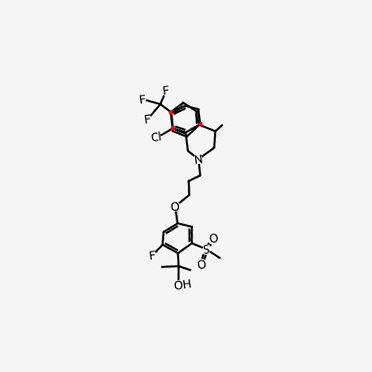 CC(CN(CCCOc1cc(F)c(C(C)(C)O)c(S(C)(=O)=O)c1)Cc1cccc(C(F)(F)F)c1Cl)c1ccccc1